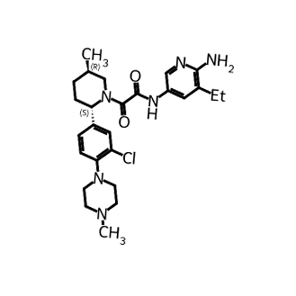 CCc1cc(NC(=O)C(=O)N2C[C@H](C)CC[C@H]2c2ccc(N3CCN(C)CC3)c(Cl)c2)cnc1N